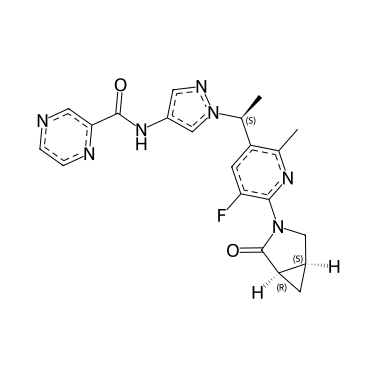 Cc1nc(N2C[C@H]3C[C@H]3C2=O)c(F)cc1[C@H](C)n1cc(NC(=O)c2cnccn2)cn1